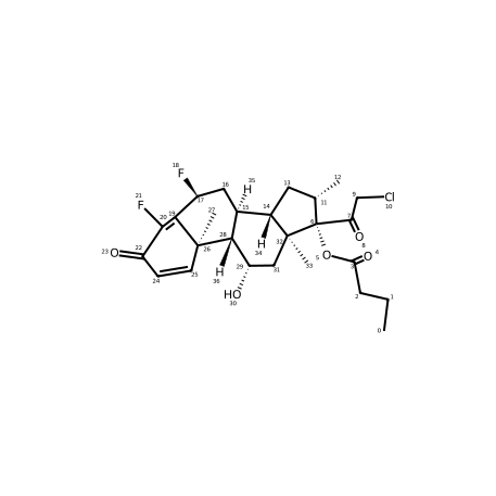 CCCC(=O)O[C@@]1(C(=O)CCl)[C@@H](C)C[C@H]2[C@@H]3C[C@H](F)C4=C(F)C(=O)C=C[C@]4(C)[C@H]3[C@@H](O)C[C@@]21C